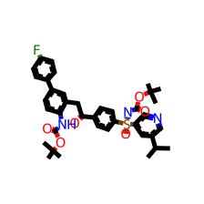 CC(C)c1cncc(S(=O)(=NC(=O)OC(C)(C)C)c2ccc(C(=O)Cc3cc(-c4ccc(F)cc4)ccc3NC(=O)OC(C)(C)C)cc2)c1